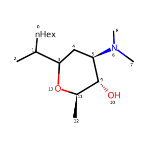 CCCCCCC(C)C1C[C@@H](N(C)C)[C@H](O)[C@@H](C)O1